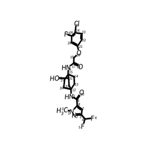 Cn1nc(C(F)F)cc1C(=O)NC12CCC(NC(=O)COc3ccc(Cl)c(F)c3)(CC1)C(O)C2